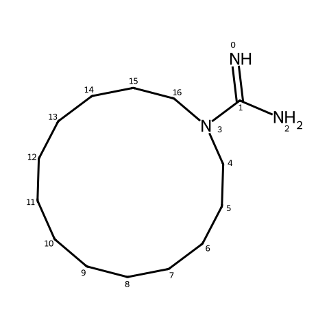 N=C(N)N1CCCCCCCCCCCCC1